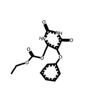 CCOC(=O)Oc1[nH]c(=O)[nH]c(=O)c1Oc1ccccc1